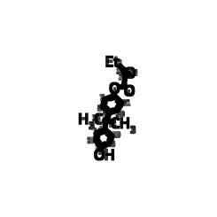 CCC1=C(C(=O)Oc2ccc(C(C)(C)c3ccc(O)cc3)cc2)O1